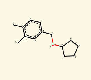 Cc1ccc(COC2CCCC2)cc1C